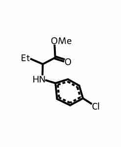 CCC(Nc1ccc(Cl)cc1)C(=O)OC